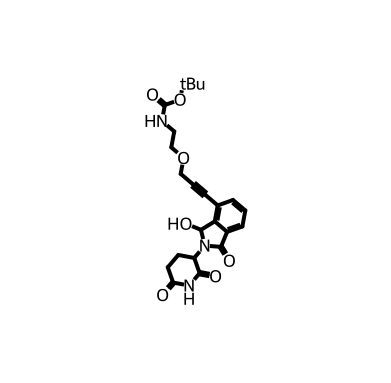 CC(C)(C)OC(=O)NCCOCC#Cc1cccc2c1C(O)N(C1CCC(=O)NC1=O)C2=O